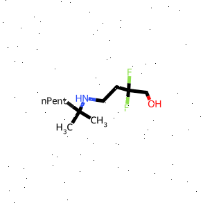 CCCCCC(C)(C)NCCC(F)(F)CO